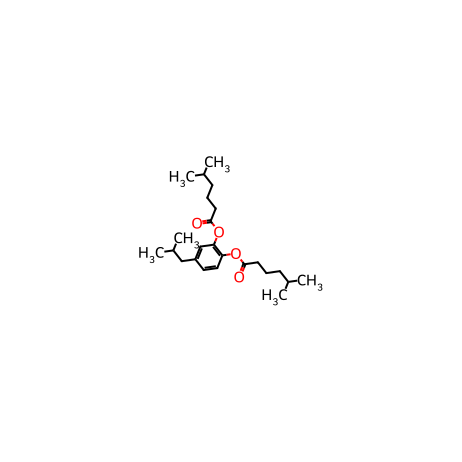 CC(C)CCCC(=O)Oc1ccc(CC(C)C)cc1OC(=O)CCCC(C)C